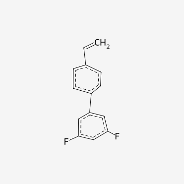 C=Cc1ccc(-c2cc(F)cc(F)c2)cc1